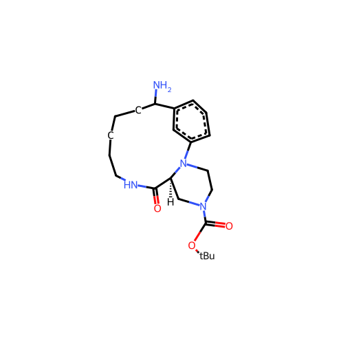 CC(C)(C)OC(=O)N1CCN2c3cccc(c3)C(N)CCCCCNC(=O)[C@@H]2C1